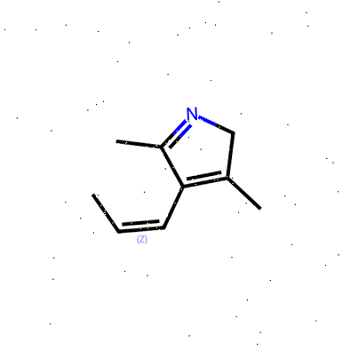 C/C=C\C1=C(C)CN=C1C